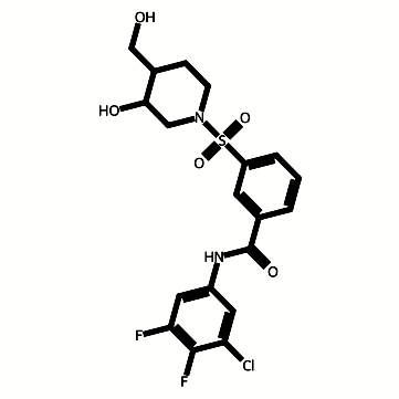 O=C(Nc1cc(F)c(F)c(Cl)c1)c1cccc(S(=O)(=O)N2CCC(CO)C(O)C2)c1